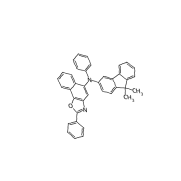 CC1(C)c2ccccc2-c2cc(N(c3ccccc3)c3cc4nc(-c5ccccc5)oc4c4ccccc34)ccc21